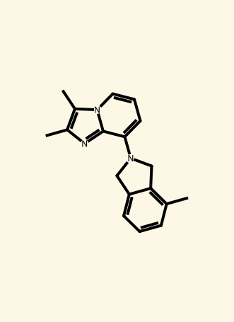 Cc1cccc2c1CN(c1cccn3c(C)c(C)nc13)C2